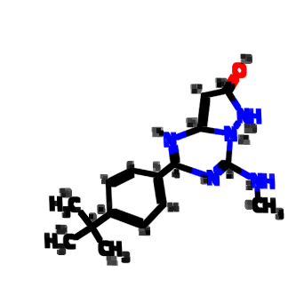 CNc1nc(-c2ccc(C(C)(C)C)cc2)nc2cc(=O)[nH]n12